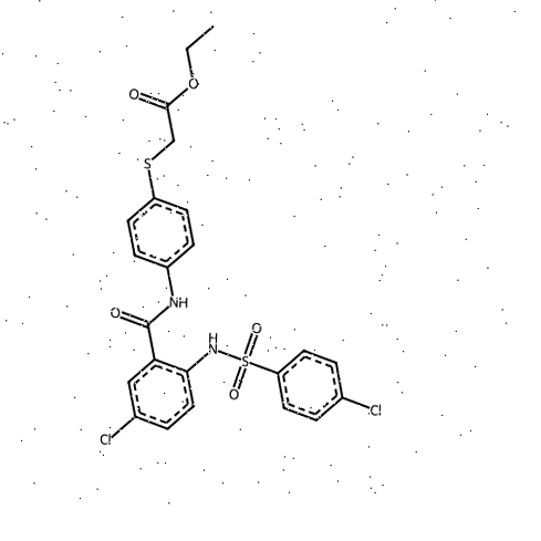 CCOC(=O)CSc1ccc(NC(=O)c2cc(Cl)ccc2NS(=O)(=O)c2ccc(Cl)cc2)cc1